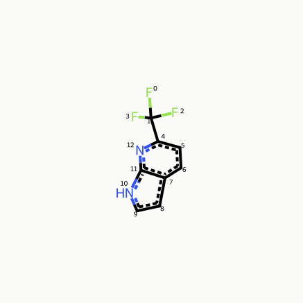 FC(F)(F)c1ccc2cc[nH]c2n1